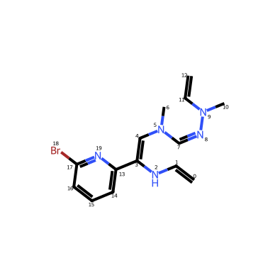 C=CN/C(=C\N(C)/C=N\N(C)C=C)c1cccc(Br)n1